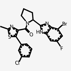 Cc1nc(C(=O)N2CCCC2c2nc3c(Br)cc(F)cc3[nH]2)c(-c2cccc(Cl)c2)s1